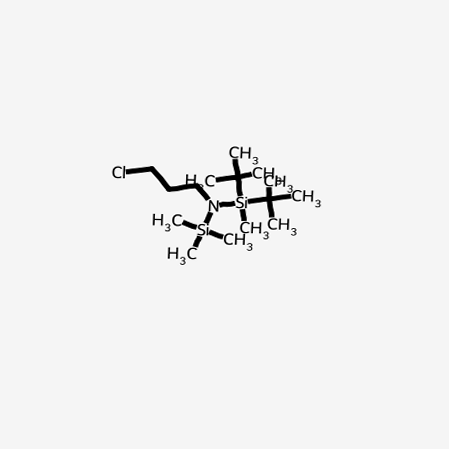 CC(C)(C)[Si](C)(N(CCCCl)[Si](C)(C)C)C(C)(C)C